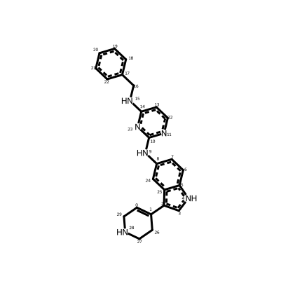 C1=C(c2c[nH]c3ccc(Nc4nccc(NCc5ccccc5)n4)cc23)CCNC1